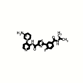 CC(C)NC(=O)c1ccc(F)c(-c2nc(C(=O)Nc3cnccc3N3CCC[C@H](N)C3)cs2)c1